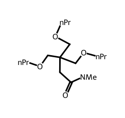 CCCOCC(COCCC)(COCCC)CC(=O)NC